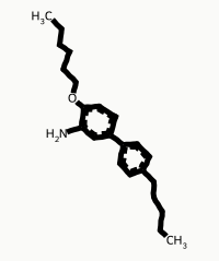 CCCCCCOc1ccc(-c2ccc(CCCCC)cc2)cc1N